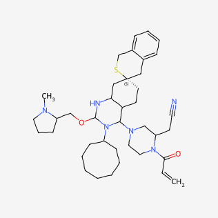 C=CC(=O)N1CCN(C2C3CC[C@]4(Cc5ccccc5CS4)CC3NC(OCC3CCCN3C)N2C2CCCCCCC2)CC1CC#N